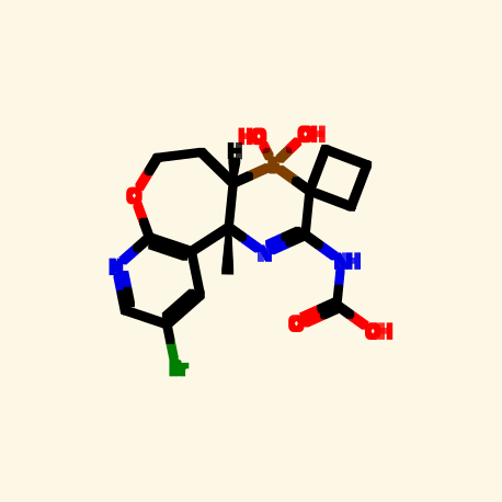 C[C@]12N=C(NC(=O)O)C3(CCC3)S(O)(O)[C@H]1CCOc1ncc(Br)cc12